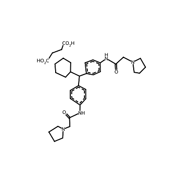 O=C(CN1CCCC1)Nc1ccc(C(c2ccc(NC(=O)CN3CCCC3)cc2)C2CCCCC2)cc1.O=C(O)CCC(=O)O